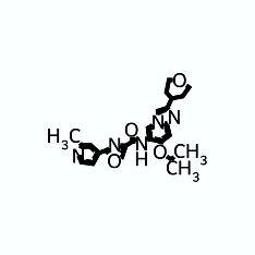 Cc1cc(-c2nc(C(=O)Nc3cn4cc(C5CCOCC5)nc4cc3OC(C)C)co2)ccn1